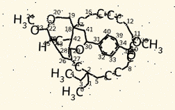 CCC1(CC)CCCCCCCCCCCCCC23CCOC(OC)[C@H]4CC(=C(OC(c5ccc(C(=O)OC)cc5)C2)C3C4)C1